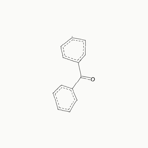 O=C(c1cc[c]cc1)c1ccccc1